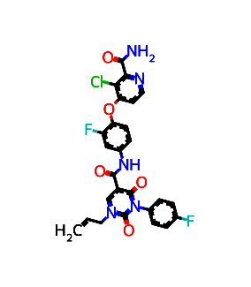 C=CCn1cc(C(=O)Nc2ccc(Oc3ccnc(C(N)=O)c3Cl)c(F)c2)c(=O)n(-c2ccc(F)cc2)c1=O